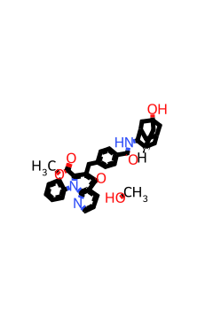 CO.COC(=O)c1c(Cc2ccc(C(=O)NC3C4CC5C[C@@H]3CC(O)(C5)C4)cc2)c(=O)c2cccnc2n1-c1ccccc1